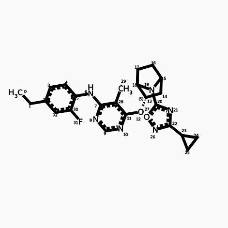 CCc1ccc(Nc2ncnc(O[C@H]3CC4CCC3N4c3nc(C4CC4)no3)c2C)c(F)c1